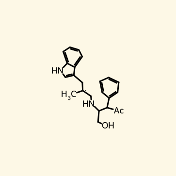 C[C](CNC(CO)C(C(C)=O)c1ccccc1)Cc1c[nH]c2ccccc12